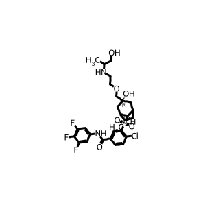 CC(CO)NCCOC[C@@]1(O)CC2C[C@H](C)C(C1)[C@@H]2S(=O)(=O)c1cc(C(=O)Nc2cc(F)c(F)c(F)c2)ccc1Cl